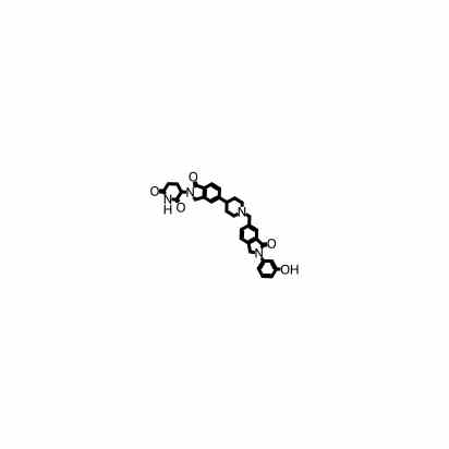 O=C1CCC(N2Cc3cc(C4CCN(Cc5ccc6c(c5)C(=O)N(c5cccc(O)c5)C6)CC4)ccc3C2=O)C(=O)N1